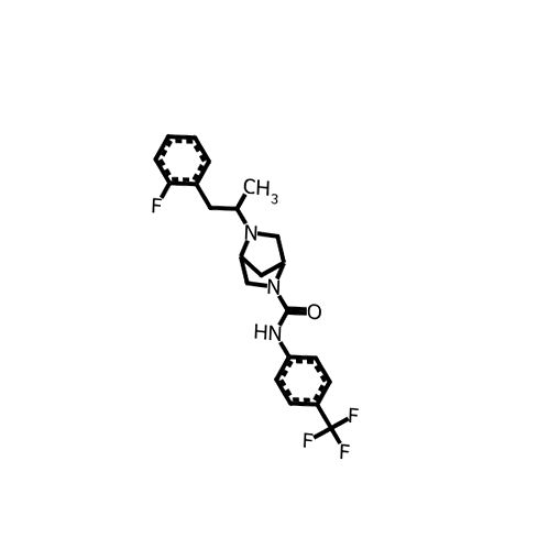 CC(Cc1ccccc1F)N1CC2CC1CN2C(=O)Nc1ccc(C(F)(F)F)cc1